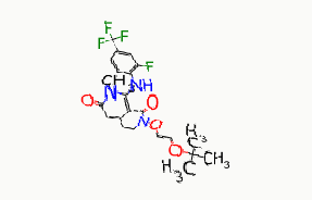 Cn1c(Nc2ccc(C(F)(F)F)cc2F)c2c(cc1=O)CCN(OCCOC(C)(C)C)C2=O